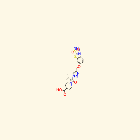 CC(C)[C@@H](C(=O)N1CCC(C(=O)O)CC1)n1cc(COc2ccc3nc(S(N)(=O)=O)sc3c2)nn1